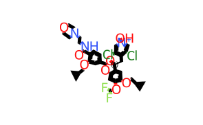 O=C(O[C@@H](Cc1c(Cl)c[n+](O)cc1Cl)c1ccc(OC(F)F)c(OCC2CC2)c1)c1ccc(C(=O)NCCN2CCOCC2)c(OCC2CC2)c1